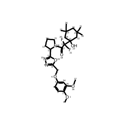 COc1ccc(OCc2nnc(C3CCCN3C(=O)C(F)(F)C3(O)CC(C)(C)CC(C)(C)C3)o2)cc1OC